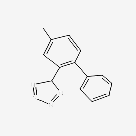 [CH2]c1ccc(-c2ccccc2)c(C2N=NN=N2)c1